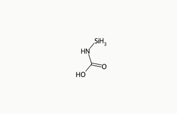 O=C(O)N[SiH3]